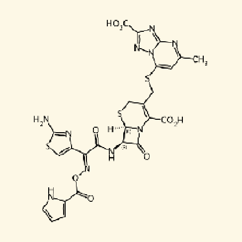 Cc1cc(SCC2=C(C(=O)O)N3C(=O)[C@@H](NC(=O)C(=NOC(=O)c4ccc[nH]4)c4csc(N)n4)[C@H]3SC2)n2nc(C(=O)O)nc2n1